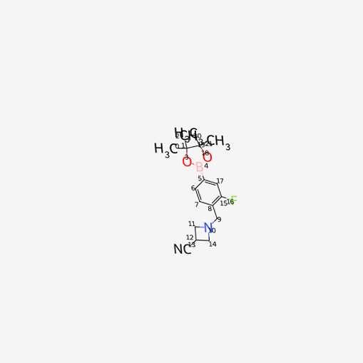 CC1(C)OB(c2ccc(CN3CC(C#N)C3)c(F)c2)OC1(C)C